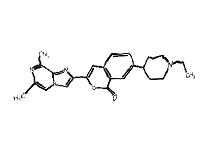 CCN1CCC(c2ccc3cc(-c4cn5cc(C)nc(C)c5n4)oc(=O)c3c2)CC1